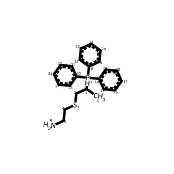 CC(CSCCN)[PH](c1ccccc1)(c1ccccc1)c1ccccc1